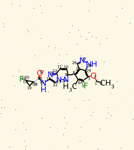 CCOc1c(F)c(C)c(-c2ccc3nc(NC(=O)[C@@H]4C[C@@H]4F)cn3n2)c2cn[nH]c12